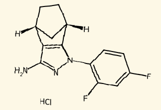 Cl.Nc1nn(-c2ccc(F)cc2F)c2c1[C@@H]1CC[C@H]2C1